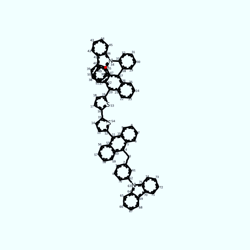 c1cc(Cc2c3ccccc3c(-c3ccc(-c4ccc(-c5c6ccccc6c(-c6ccccc6-n6c7ccccc7c7ccccc76)c6ccccc56)s4)s3)c3ccccc23)cc(-n2c3ccccc3c3ccccc32)c1